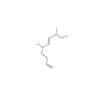 C=CCCC(C)C=CC(C)CC